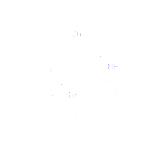 CC1(NC(=S)[S-])CCCCC1.CC1(NC(=S)[S-])CCCCC1.[Zn+2]